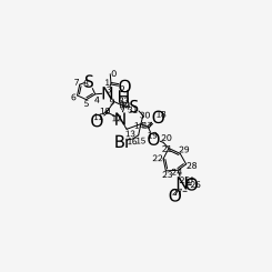 CC(=O)N(c1cccs1)C1C(=O)N2CC(CBr)(C(=O)OCc3ccc([N+](=O)[O-])cc3)CS[C@H]12